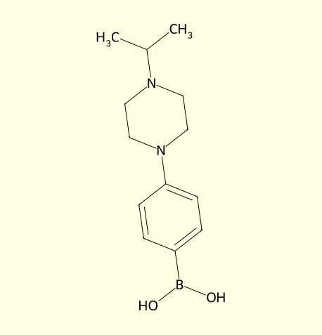 CC(C)N1CCN(c2ccc(B(O)O)cc2)CC1